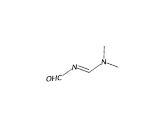 CN(C)/C=N/C=O